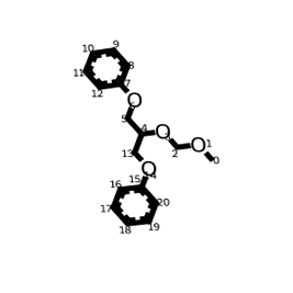 COCOC(COc1ccccc1)COc1ccccc1